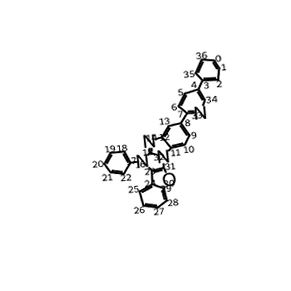 c1ccc(-c2ccc(-c3ccc4c(c3)nc3n(-c5ccccc5)c5c6ccccc6oc5n43)nc2)cc1